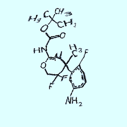 CC(C)(C)OC(=O)NC1=NC(C)(c2cc(N)ccc2F)C(F)(F)CO1